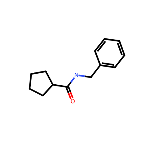 O=C([N]Cc1ccccc1)C1CCCC1